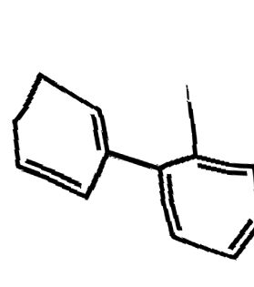 Ic1ccccc1C1=CCCC=C1